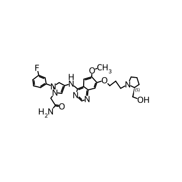 COc1cc2c(NC3=CN(CC(N)=O)N(c4cccc(F)c4)C3)ncnc2cc1OCCCN1CCC[C@H]1CO